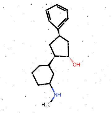 CNC1CCCC([C@H]2C[C@@H](c3ccccc3)C[C@@H]2O)C1